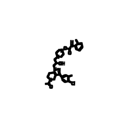 CC(=O)N1CCc2c(c(-c3ccc(Cl)c(C)c3)nn2CC(O)CN2CCN(OC(=O)Nc3ccccc3C)CC2)C1